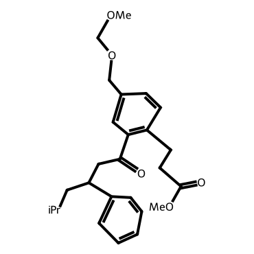 COCOCc1ccc(CCC(=O)OC)c(C(=O)CC(CC(C)C)c2ccccc2)c1